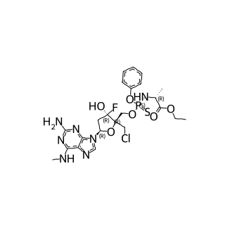 CCOC(=O)[C@@H](C)N[P@](=S)(OC[C@@]1(CCl)O[C@@H](n2cnc3c(NC)nc(N)nc32)C[C@@]1(O)F)Oc1ccccc1